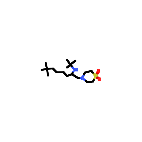 CC(C)(C)CCCCC(CN1CCS(=O)(=O)CC1)NC(C)(C)C